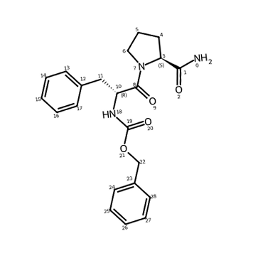 NC(=O)[C@@H]1CCCN1C(=O)[C@@H](Cc1ccccc1)NC(=O)OCc1ccccc1